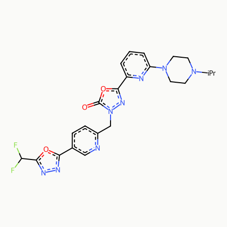 CC(C)N1CCN(c2cccc(-c3nn(Cc4ccc(-c5nnc(C(F)F)o5)cn4)c(=O)o3)n2)CC1